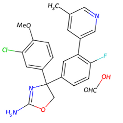 COc1ccc(C2(c3ccc(F)c(-c4cncc(C)c4)c3)COC(N)=N2)cc1Cl.O=CO